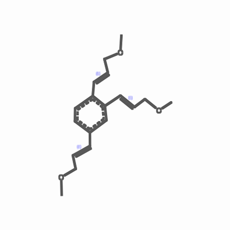 COC/C=C/c1ccc(/C=C/COC)c(/C=C/COC)c1